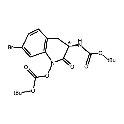 CC(C)(C)OC(=O)N[C@@H]1Cc2ccc(Br)cc2N(OC(=O)OC(C)(C)C)C1=O